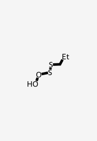 CCCSSOO